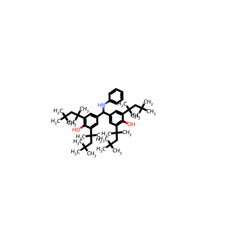 CC(C)(C)CC(C)(C)c1cc(C(Nc2ccccc2)c2cc(C(C)(C)CC(C)(C)C)c(O)c(C(C)(C)CC(C)(C)C)c2)cc(C(C)(C)CC(C)(C)C)c1O